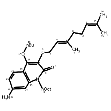 CCCCCCCCn1c(=O)c(OC/C=C(\C)CCC=C(C)C)c(OCCCC)c2ccc(N)cc21